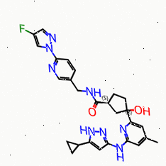 Cc1cc(Nc2cc(C3CC3)[nH]n2)nc([C@@]2(O)CC[C@H](C(=O)NCc3ccc(-n4cc(F)cn4)nc3)C2)c1